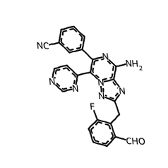 N#Cc1cccc(-c2nc(N)c3nc(Cc4c(F)cccc4C=O)nn3c2-c2ccncn2)c1